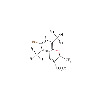 [2H]C([2H])([2H])c1c(Br)c(C)c(C([2H])([2H])[2H])c2c1C=C(C(=O)OCC)C(C(F)(F)F)O2